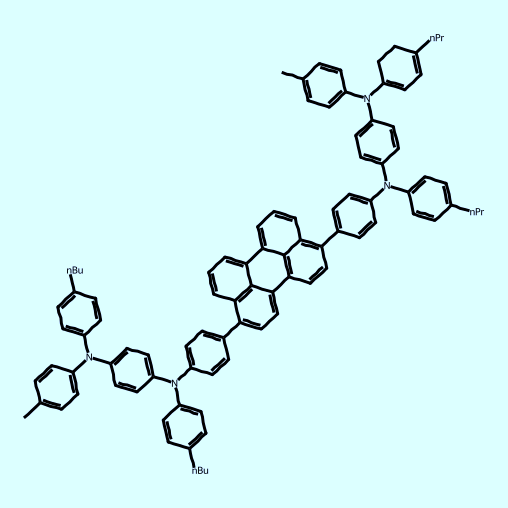 CCCCc1ccc(N(c2ccc(C)cc2)c2ccc(N(c3ccc(CCCC)cc3)c3ccc(-c4ccc5c6ccc(-c7ccc(N(c8ccc(CCC)cc8)c8ccc(N(C9=CC=C(CCC)CC9)c9ccc(C)cc9)cc8)cc7)c7cccc(c8cccc4c85)c76)cc3)cc2)cc1